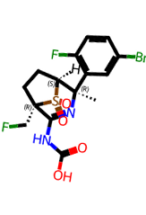 C[C@]1(c2cc(Br)ccc2F)N=C(NC(=O)O)[C@@]2(CF)CC[C@@H]1S2(=O)=O